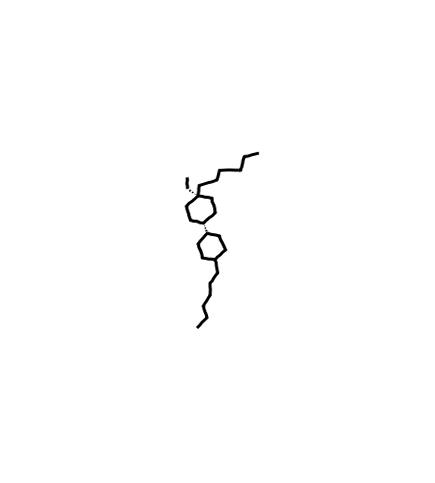 CCCCCCC1CCC([C@H]2CC[C@](CC)(CCCCCC)CC2)CC1